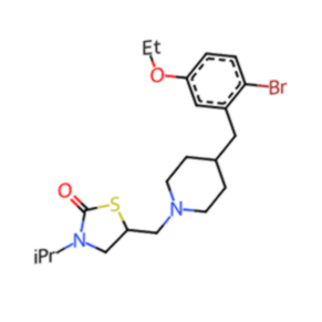 CCOc1ccc(Br)c(CC2CCN(CC3CN(C(C)C)C(=O)S3)CC2)c1